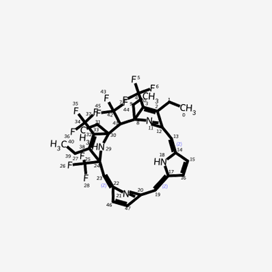 CCC1=C(C(F)(F)F)C2(CC)N=C1/C=c1/cc/c([nH]1)=C/C1=NC(=C\C3(C(F)(F)F)NC(CC)(C(C(F)(F)F)=C3CC)C2C(F)(F)F)/C=C1